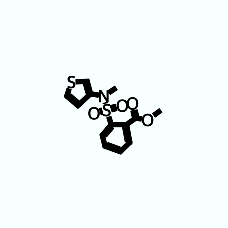 COC(=O)c1ccccc1S(=O)(=O)N(C)c1ccsc1